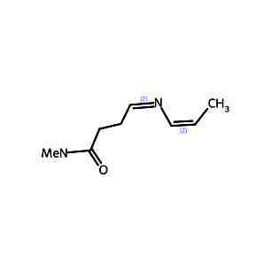 C/C=C\N=C/CCC(=O)NC